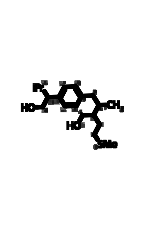 CSCCC(CO)C(C)Cc1ccc(C(CO)C(C)C)cc1